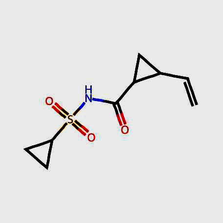 C=CC1CC1C(=O)NS(=O)(=O)C1CC1